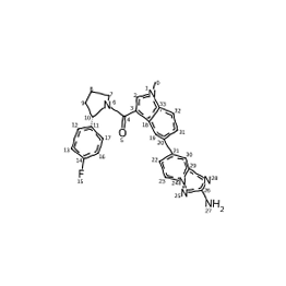 Cn1cc(C(=O)N2CCC[C@H]2c2ccc(F)cc2)c2cc(-c3ccn4nc(N)nc4c3)ccc21